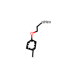 [CH2]c1ccc(OCCCCCCCC)cc1